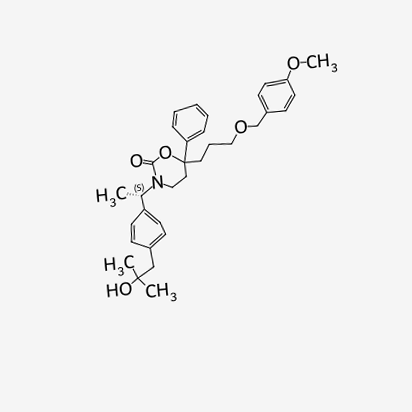 COc1ccc(COCCCC2(c3ccccc3)CCN([C@@H](C)c3ccc(CC(C)(C)O)cc3)C(=O)O2)cc1